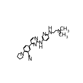 CN(C)CCNc1ccc(Nc2nccc(-c3ccc(N4CCCC4)c(C#N)c3)n2)cn1